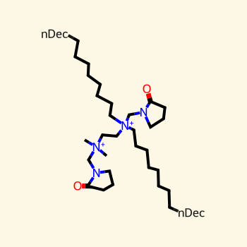 CCCCCCCCCCCCCCCCCC[N+](CCCCCCCCCCCCCCCCCC)(CC[N+](C)(C)CN1CCCC1=O)CN1CCCC1=O